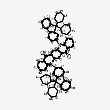 O=c1c2ccccc2n(-c2ccc3c(c2)C(C2CCCCC2)(C2CCCCC2)c2ccccc2-3)c2cc3c(=O)c4ccccc4n(-c4ccc5c(c4)C(C4CCCCC4)(C4CCCCC4)c4ccccc4-5)c3cc12